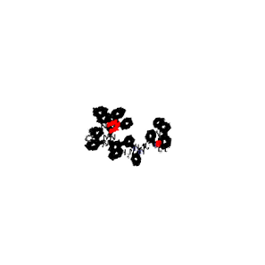 CC/C=C/c1c(OC/N=C(\N=C(/N)c2cccc(-c3cc(-c4nc(-c5ccc(-c6ccccc6)cc5)nc(-c5cccc6oc7ccc(-n8c9ccc(-c%10ccccc%10)cc9c9cc%10ccccc%10cc98)cc7c56)n4)cc4ccccc34)c2)c2ccccc2)cccc1-n1c2ccccc2c2ccc3ccccc3c21